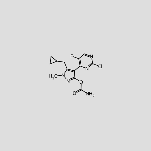 Cn1nc(OC(N)=O)c(-c2nc(Cl)ncc2F)c1CC1CC1